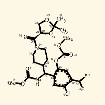 CC(C)(C)OC(=O)NC(c1cc(Cl)c(C(F)F)cc1OC(=O)OC(C)(C)C)C1CCN(C(=O)[C@H]2COC(C)(C)O2)CC1